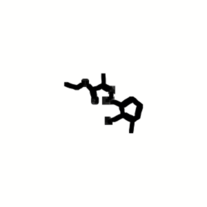 CCOC(=O)/C(C)=N\Nc1cccc(C)c1Br